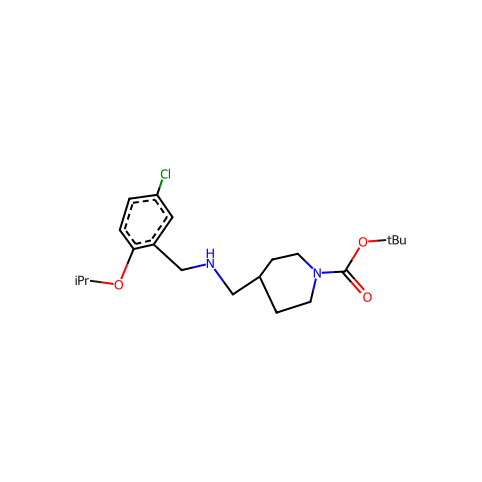 CC(C)Oc1ccc(Cl)cc1CNCC1CCN(C(=O)OC(C)(C)C)CC1